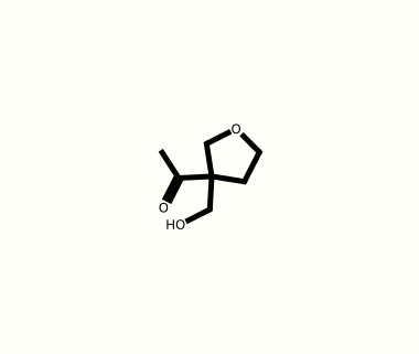 CC(=O)C1(CO)CCOC1